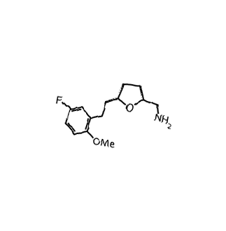 COc1ccc(F)cc1CCC1CCC(CN)O1